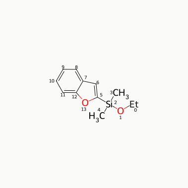 CCO[Si](C)(C)c1cc2ccccc2o1